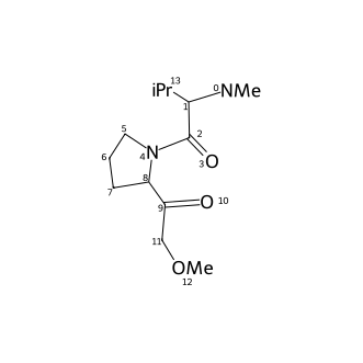 CNC(C(=O)N1CCCC1C(=O)COC)C(C)C